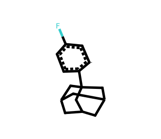 Fc1c[c]c(C23CC4CC(CC(C4)C2)C3)cc1